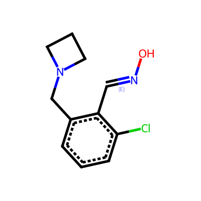 O/N=C/c1c(Cl)cccc1CN1CCC1